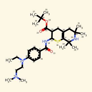 CCN(CCN(C)C)c1ccc(C(=O)NC2SC3=C(CC2C(=O)OC(C)(C)C)CC(C)(C)NC3(C)C)cc1